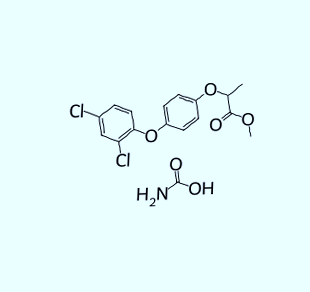 COC(=O)C(C)Oc1ccc(Oc2ccc(Cl)cc2Cl)cc1.NC(=O)O